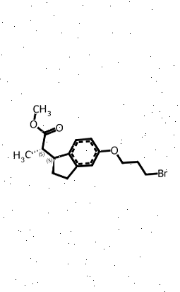 COC(=O)[C@@H](C)[C@@H]1CCc2cc(OCCCBr)ccc21